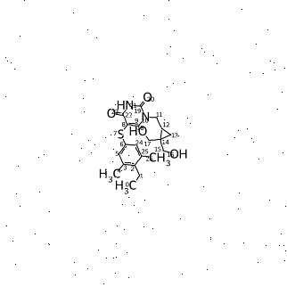 CCc1c(C)cc(Sc2cn(CC3CC3(CO)CO)c(=O)[nH]c2=O)cc1C